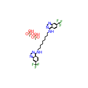 CS(=O)(=O)O.CS(=O)(=O)O.FC(F)(F)c1ccc2c(NCCCCCCCCCNc3ncnc4cc(C(F)(F)F)ccc34)ncnc2c1